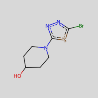 OC1CCN(c2nnc(Br)s2)CC1